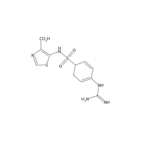 N=C(N)NC1=CCC(S(=O)(=O)Nc2scnc2C(=O)O)C=C1